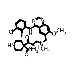 COc1cc2ncnc(Nc3cccc(Cl)c3F)c2cc1CN(C)C[C@H](O)C(=O)C1(C(N)=O)CCNCC1